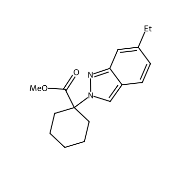 CCc1ccc2cn(C3(C(=O)OC)CCCCC3)nc2c1